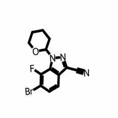 N#Cc1nn(C2CCCCO2)c2c(F)c(Br)ccc12